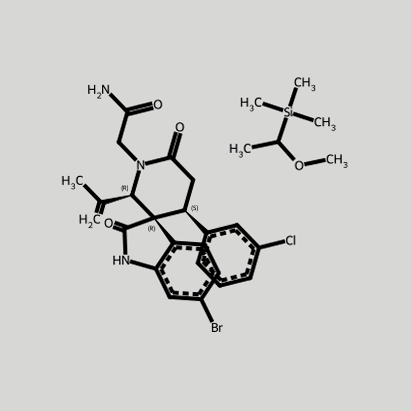 C=C(C)[C@H]1N(CC(N)=O)C(=O)C[C@@H](c2cccc(Cl)c2)[C@]12C(=O)Nc1cc(Br)ccc12.COC(C)[Si](C)(C)C